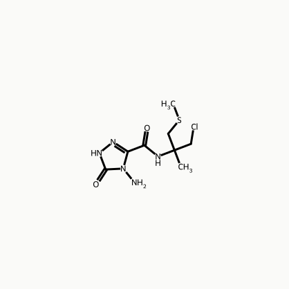 CSCC(C)(CCl)NC(=O)c1n[nH]c(=O)n1N